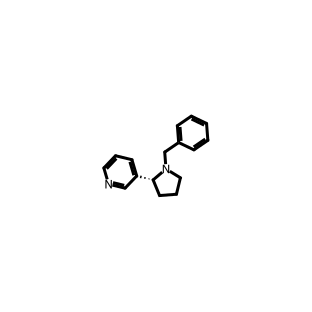 c1ccc(CN2CCC[C@@H]2c2cccnc2)cc1